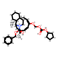 C=C1/C=C\C(OCOC(=O)OC2CCCC2)=C/C[C@]23CCCC[C@@H]2[C@H](C1)N(C(=O)OCc1ccccc1)CC3